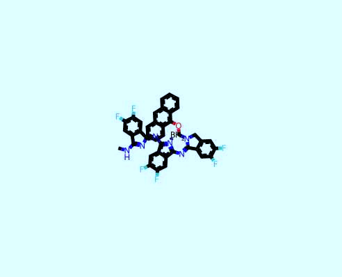 Bn1c(/N=C2\N=C(NC)c3cc(F)c(F)cc32)c2cc(F)c(F)cc2c1/N=C1/c2cc(F)c(F)cc2CN1COc1c2ccccc2cc2ccccc12